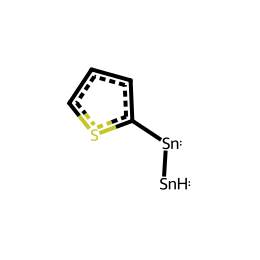 [SnH][Sn][c]1cccs1